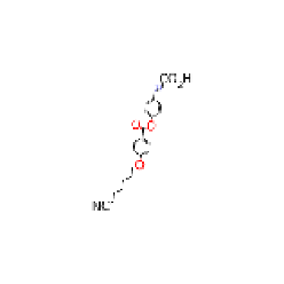 N#CCCCCCCOc1ccc(C(=O)Oc2ccc(/C=C/C(=O)O)cc2)cc1